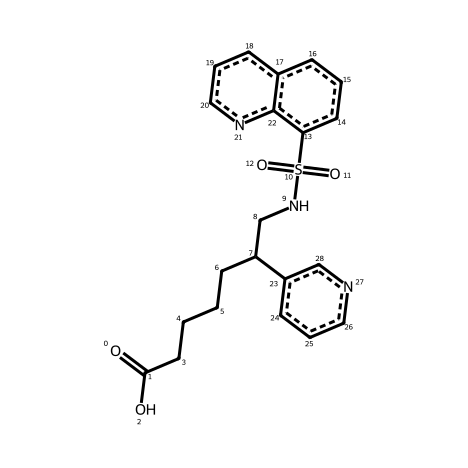 O=C(O)CCCCC(CNS(=O)(=O)c1cccc2cccnc12)c1cccnc1